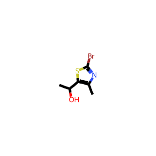 Cc1nc(Br)sc1C(C)O